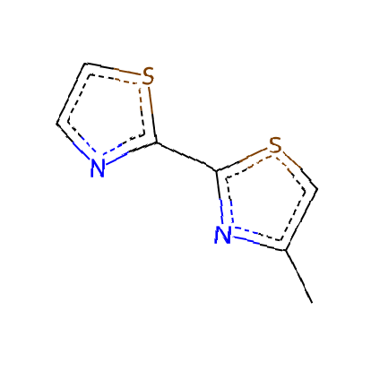 Cc1csc(-c2nccs2)n1